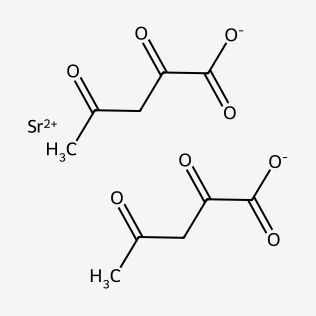 CC(=O)CC(=O)C(=O)[O-].CC(=O)CC(=O)C(=O)[O-].[Sr+2]